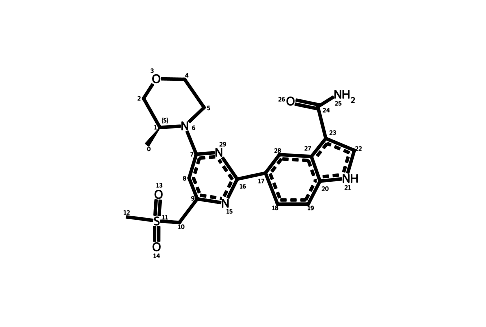 C[C@H]1COCCN1c1cc(CS(C)(=O)=O)nc(-c2ccc3[nH]cc(C(N)=O)c3c2)n1